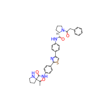 CC(=O)C1(C(=O)Nc2ccc(-c3nc(-c4ccc(NC(=O)[C@@H]5CCCN5C(=O)Cc5ccccc5)cc4)cs3)cc2)CCCN1